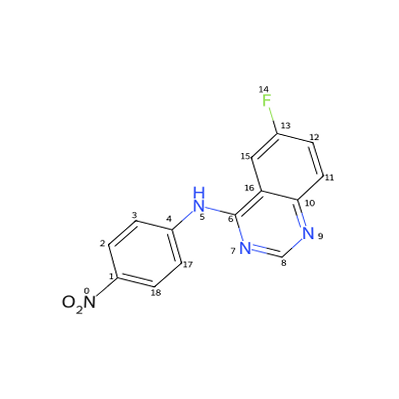 O=[N+]([O-])c1ccc(Nc2ncnc3ccc(F)cc23)cc1